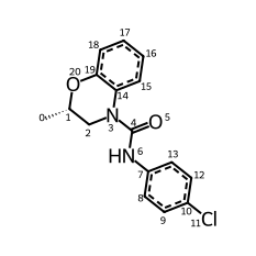 C[C@H]1CN(C(=O)Nc2ccc(Cl)cc2)c2ccccc2O1